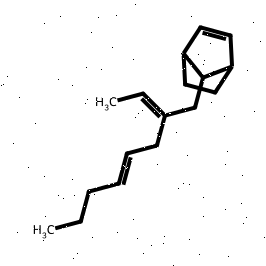 CC=C(CC=CCCC)CC1C2C=CC1CC2